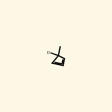 CCC1(C)C=C=C1